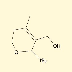 CC1=C(CO)C(C(C)(C)C)OCC1